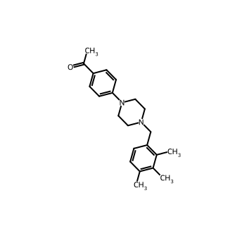 CC(=O)c1ccc(N2CCN(Cc3ccc(C)c(C)c3C)CC2)cc1